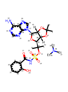 CC1(C)O[C@@H]2[C@H](O1)[C@@H](C(C)(C)OS(=O)(=O)NC(=O)c1ccccc1O)O[C@H]2n1cnc2c(N)ncnc21.CCN(CC)CC